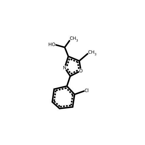 C[C](O)c1nc(-c2ccccc2Cl)oc1C